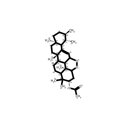 CC(=O)O[C@H]1CC2OOC3C=C4C5[C@@H](C)[C@H](C)CC[C@]5(C)CC[C@@]4(C)[C@]4(C)CCC(C1(C)C)[C@@]2(C)C34